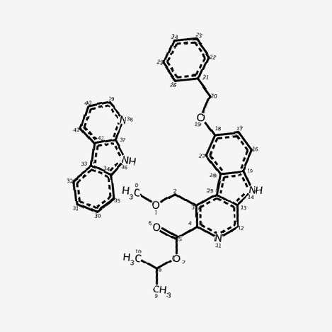 COCc1c(C(=O)OC(C)C)ncc2[nH]c3ccc(OCc4ccccc4)cc3c12.c1ccc2c(c1)[nH]c1ncccc12